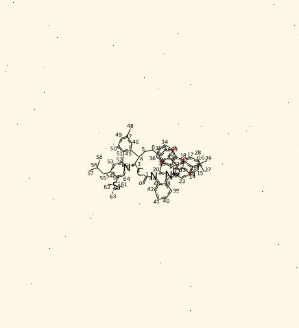 C=C1CC2C(CCc3ccc4c(oc5ccccc54)c3-c3n(-c4ccc(C(C)(C)C)cc4-c4ccccc4)c4ccccc4[n+]31)c1cc(C)ccc1-c1cc(CC(C)C)c([Si](C)(C)C)c[n+]12